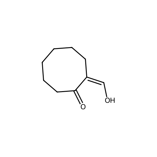 O=C1CCCCCC/C1=C/O